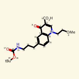 COCCn1cc(C(=O)O)c(=O)c2cc(CCCNC(=O)OC(C)(C)C)ccc21